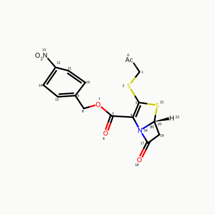 CC(=O)CSC1=C(C(=O)OCc2ccc([N+](=O)[O-])cc2)N2C(=O)C[C@H]2S1